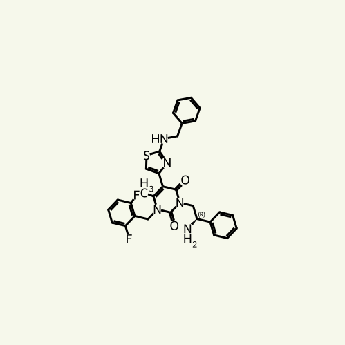 Cc1c(-c2csc(NCc3ccccc3)n2)c(=O)n(C[C@H](N)c2ccccc2)c(=O)n1Cc1c(F)cccc1F